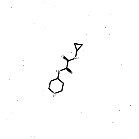 O=C(NC1CCNCC1)C(=O)NC1CC1